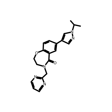 CC(C)n1cc(-c2ccc3c(c2)C(=O)N(Cc2ncccn2)CCO3)cn1